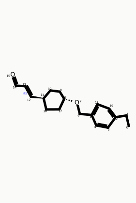 CCc1ccc(CO[C@H]2CC[C@H](/C=C/C=O)CC2)cc1